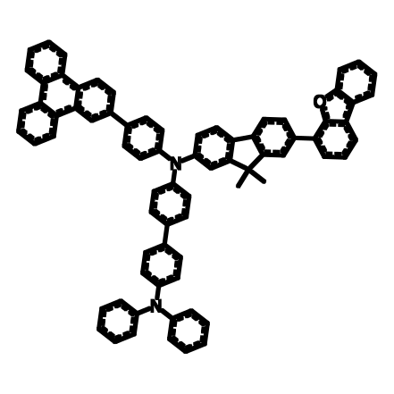 CC1(C)c2cc(-c3cccc4c3oc3ccccc34)ccc2-c2ccc(N(c3ccc(-c4ccc(N(c5ccccc5)c5ccccc5)cc4)cc3)c3ccc(-c4ccc5c6ccccc6c6ccccc6c5c4)cc3)cc21